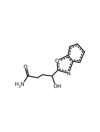 NC(=O)CCC(O)c1nc2ccccc2o1